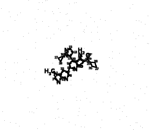 Cn1cnc2ncc(-c3cc(-c4ccnn4C4CC4)c4c(N)c([S@+]([O-])C5CCC5)sc4n3)cc21